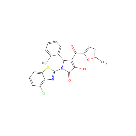 Cc1ccc(C(=O)C2=C(O)C(=O)N(c3nc4c(Cl)cccc4s3)C2c2ccccc2C)o1